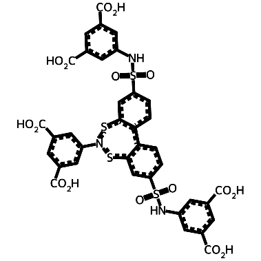 O=C(O)c1cc(NS(=O)(=O)c2ccc3c(c2)sn(-c2cc(C(=O)O)cc(C(=O)O)c2)sc2cc(S(=O)(=O)Nc4cc(C(=O)O)cc(C(=O)O)c4)ccc23)cc(C(=O)O)c1